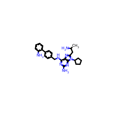 CC(N)Cc1nc2c(NCc3ccc(-c4ccccc4N)cc3)nc(N)nc2n1C1CCCC1